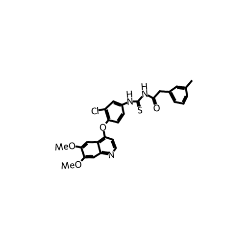 COc1cc2nccc(Oc3ccc(NC(=S)NC(=O)Cc4cccc(C)c4)cc3Cl)c2cc1OC